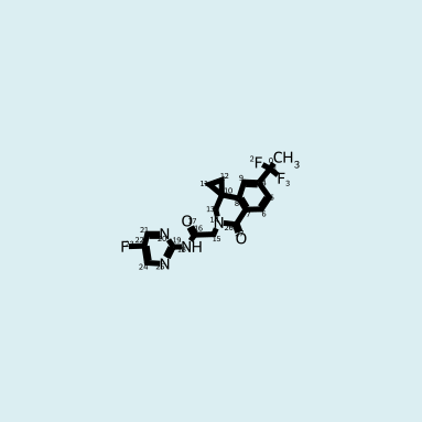 CC(F)(F)c1ccc2c(c1)C1(CC1)CN(CC(=O)Nc1ncc(F)cn1)C2=O